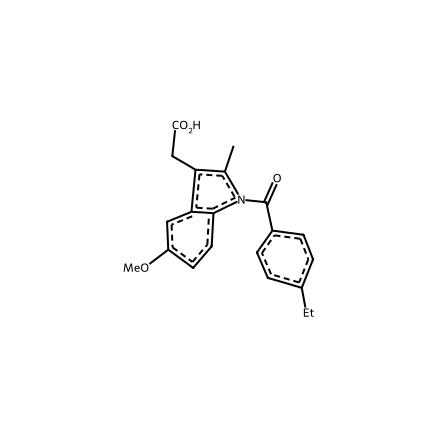 CCc1ccc(C(=O)n2c(C)c(CC(=O)O)c3cc(OC)ccc32)cc1